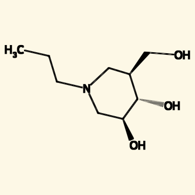 CCCN1C[C@@H](CO)[C@H](O)[C@@H](O)C1